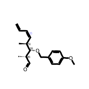 C=C/C=C\[C@H](C)[C@H](OCc1ccc(OC)cc1)[C@@H](C)C=O